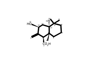 C=C1[C@H](C(=O)O)[C@@]2(C)CCCC(C)(C)[C@@H]2C[C@@H]1O